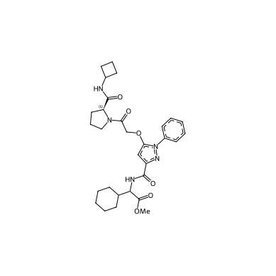 COC(=O)C(NC(=O)c1cc(OCC(=O)N2CCC[C@H]2C(=O)NC2CCC2)n(-c2ccccc2)n1)C1CCCCC1